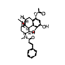 CC(=O)Oc1cc(O)c2c3c1C[C@@H]1[C@@H]4CC[C@H](N(C)C(=O)C=Cc5ccccc5)[C@H](O2)[C@]34CCN1C